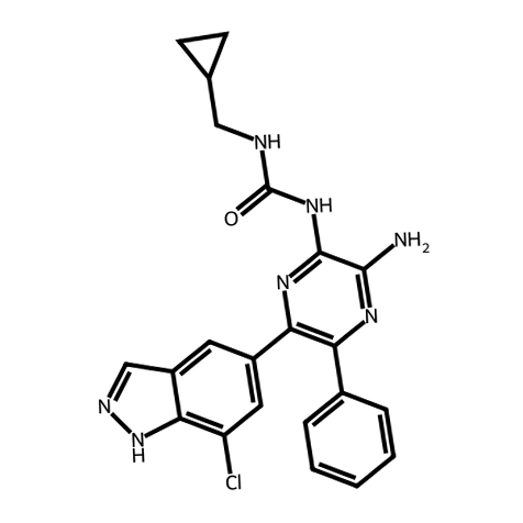 Nc1nc(-c2ccccc2)c(-c2cc(Cl)c3[nH]ncc3c2)nc1NC(=O)NCC1CC1